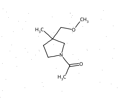 COCC1(C)CCN(C(C)=O)C1